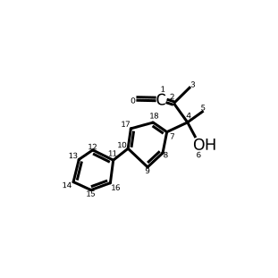 C=C=C(C)C(C)(O)c1ccc(-c2ccccc2)cc1